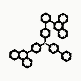 c1ccc(-c2ccc(N(c3ccc(-c4ccccc4-c4cc5ccccc5c5ccccc45)cc3)c3ccc(-c4cc5ccccc5c5ccccc45)cc3)cc2)cc1